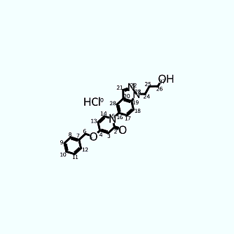 Cl.O=c1cc(OCc2ccccc2)ccn1-c1ccc2c(cnn2CCCO)c1